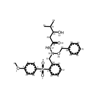 COc1ccc(S(=O)(=O)c2ccccc2CN(NC(=O)CC(O)C(C)C)OCc2ccccc2)cc1